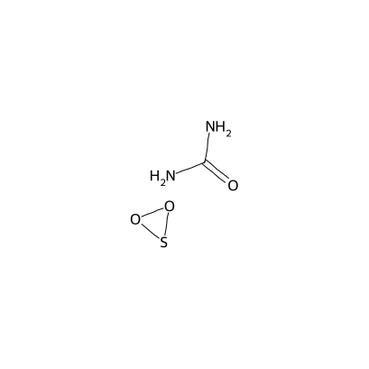 NC(N)=O.o1os1